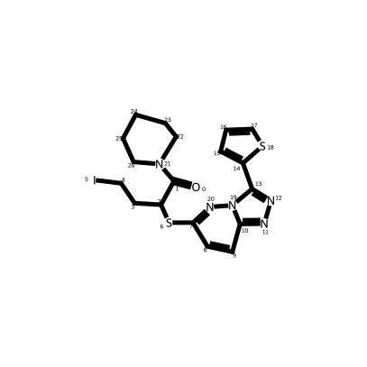 O=C(C(CCI)Sc1ccc2nnc(-c3cccs3)n2n1)N1CCCCC1